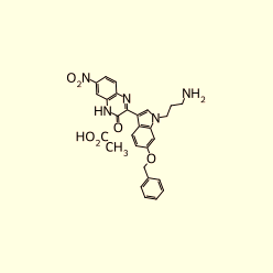 CC(=O)O.NCCCn1cc(-c2nc3ccc([N+](=O)[O-])cc3[nH]c2=O)c2ccc(OCc3ccccc3)cc21